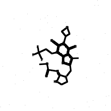 COC(=O)/N=C1\NCCN1Cc1sc2c(c1C)c(=O)n(C1COC1)c(=O)n2CCC(F)(F)F